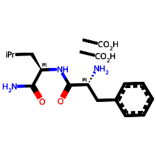 CC(=O)O.CC(=O)O.CC(C)C[C@@H](NC(=O)[C@H](N)Cc1ccccc1)C(N)=O